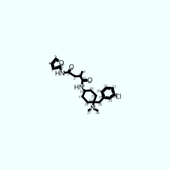 CC(CC(=O)Nc1ccco1)C(=O)NC1CCC(Cc2cccc(Cl)c2)(N(C)C)CC1